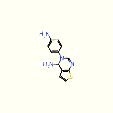 Nc1ccc(N2C=Nc3sccc3C2N)cc1